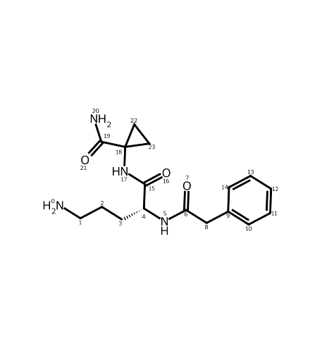 NCCC[C@@H](NC(=O)Cc1ccccc1)C(=O)NC1(C(N)=O)CC1